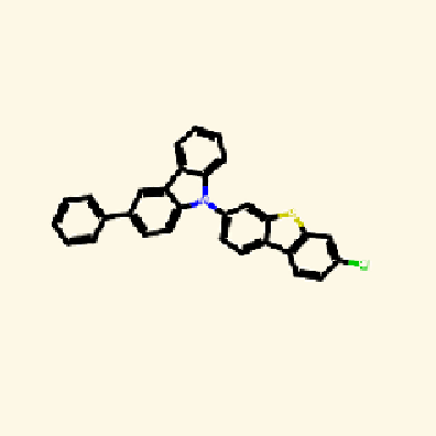 Clc1ccc2c(c1)sc1cc(-n3c4ccccc4c4cc(-c5ccccc5)ccc43)ccc12